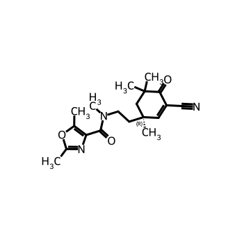 Cc1nc(C(=O)N(C)CC[C@]2(C)C=C(C#N)C(=O)C(C)(C)C2)c(C)o1